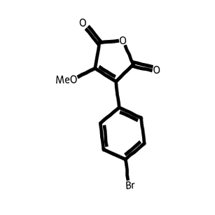 COC1=C(c2ccc(Br)cc2)C(=O)OC1=O